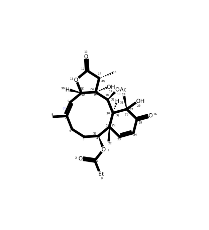 CCC(=O)O[C@H]1CC/C(C)=C\[C@@H]2OC(=O)[C@H](C)[C@@]2(O)[C@@H](OC(C)=O)[C@@H]2[C@]1(C)C=CC(=O)[C@@]2(C)O